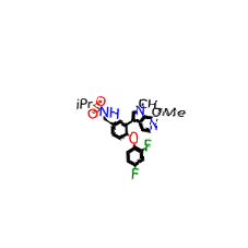 COc1nccc2c(-c3cc(CNS(=O)(=O)C(C)C)ccc3Oc3ccc(F)cc3F)cn(C)c12